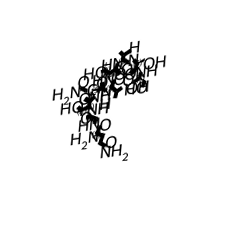 CC(C)[C@H](NC(=O)[C@H](CCC(N)=O)NC(=O)[C@@H](NC(=O)CNC(=O)[C@@H](N)CCC(N)=O)[C@@H](C)O)C(=O)N[C@H](C(=O)N[C@H](C(=O)N[C@@H](CO)C(=O)N[C@@H](CO)C(=O)O)C(C)C)[C@@H](C)O